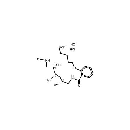 COCCCCOc1ccccc1C(=O)NC[C@@H](C[C@H](N)[C@@H](O)CNC(C)C)C(C)C.Cl.Cl